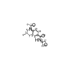 CC(=O)N1C[C@H](C)Cc2cc(C(=O)NC3COC3)ccc21